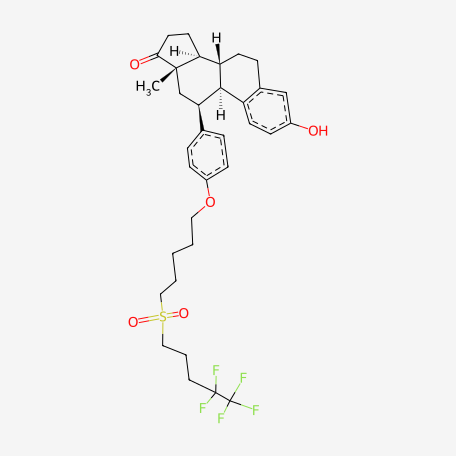 C[C@]12C[C@H](c3ccc(OCCCCCS(=O)(=O)CCCC(F)(F)C(F)(F)F)cc3)[C@@H]3c4ccc(O)cc4CC[C@H]3[C@@H]1CCC2=O